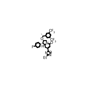 CCc1noc(C2=CC(=O)N3C[C@H](O[C@H](C)c4cc(C(F)(F)F)cc(C(F)(F)F)c4)[C@@H](c4ccc(F)cc4)[C@@H]3C2)n1